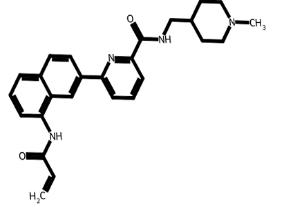 C=CC(=O)Nc1cccc2ccc(-c3cccc(C(=O)NCC4CCN(C)CC4)n3)cc12